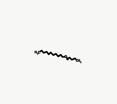 CCCCCCCCCCCOOCCCC